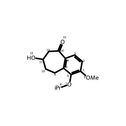 COc1ccc2c(c1OC(C)C)CCC(O)CC2=O